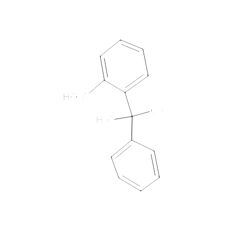 CC(C)(c1ccccc1)c1ccccc1C(=O)O